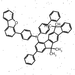 CC1(C)c2ccccc2-c2cc3c(cc21)-c1c(N(c2ccc(-c4ccccc4)cc2)c2ccc(-c4cccc5c4oc4ccccc45)cc2)cc(-c2ccccc2)cc1C3(C)C